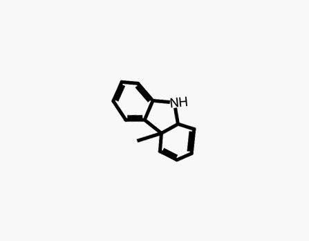 CC12C=CC=CC1Nc1ccccc12